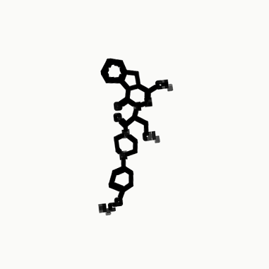 CCC(C(=O)N1CCN(C2=CC=C(OC)CC2)CC1)N1N=C(C)C2Cc3ccccc3C2C1=O